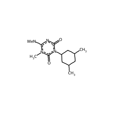 CNc1nc(=O)n(C2CC(C)CC(C)C2)c(=O)n1C